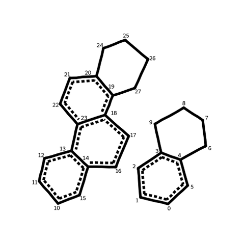 c1ccc2c(c1)CCCC2.c1ccc2c(c1)ccc1c3c(ccc12)CCCC3